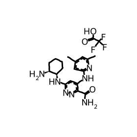 Cc1cc(C)nc(Nc2cc(N[C@@H]3CCCC[C@@H]3N)nnc2C(N)=O)c1.O=C(O)C(F)(F)F